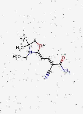 CCN1/C(=C/C=C(\C#N)C(N)=O)OCC1(C)C